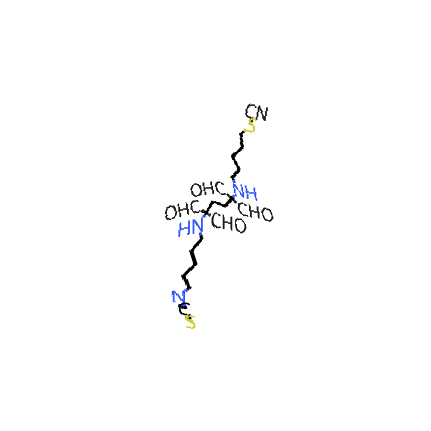 N#CSCCCCCNC(C=O)(C=O)CCC(C=O)(C=O)NCCCCCN=C=S